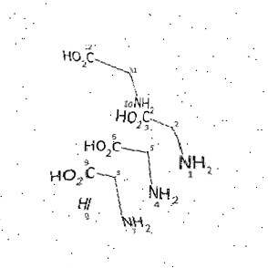 I.NCC(=O)O.NCC(=O)O.NCC(=O)O.NCC(=O)O